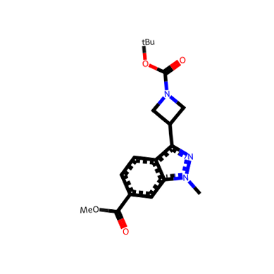 COC(=O)c1ccc2c(C3CN(C(=O)OC(C)(C)C)C3)nn(C)c2c1